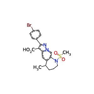 CC1CCCN(S(C)(=O)=O)c2cn3nc(-c4ccc(Br)cc4)c(C(=O)O)c3cc21